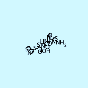 CON=C(C(=O)NC1C(=O)N2C(C(=O)O)=C(CSc3cc[n+](C)c4sccc34)SCC12)c1csc(N)n1